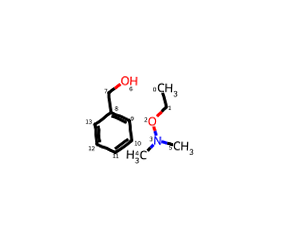 CCON(C)C.OCc1ccccc1